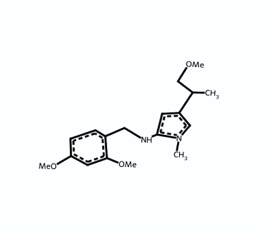 COCC(C)c1cc(NCc2ccc(OC)cc2OC)n(C)c1